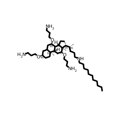 CCCCCCCCCCCNCCC[C@@H](C)[C@H]1CC[C@H]2C3[C@H](OCCCN)CC4C[C@H](OCCCN)CC[C@]4(C)[C@H]3C[C@H](OCCCN)[C@]12C